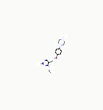 CC(C)CNc1nc(C#N)ncc1CNC(=O)c1ccc(N2CCN(C(C)C)CC2)cc1